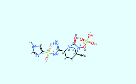 Cn1cnc(S(=O)(=O)NC(=N)[C@@H]2CC[C@@H]3CN2C(=O)N3OS(=O)(=O)O)c1